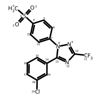 CS(=O)(=O)c1ccc(-n2nc(C(F)(F)F)nc2-c2cccc(Cl)c2)cc1